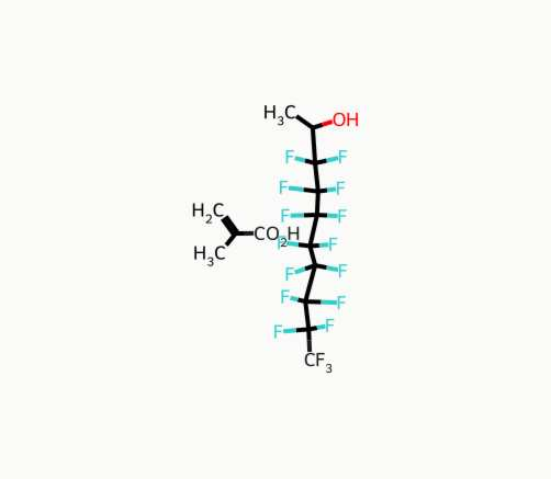 C=C(C)C(=O)O.CC(O)C(F)(F)C(F)(F)C(F)(F)C(F)(F)C(F)(F)C(F)(F)C(F)(F)C(F)(F)F